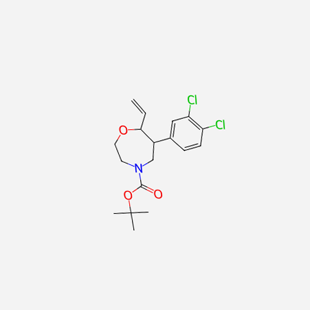 C=CC1OCCN(C(=O)OC(C)(C)C)CC1c1ccc(Cl)c(Cl)c1